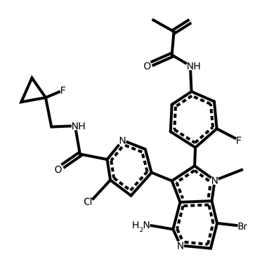 C=C(C)C(=O)Nc1ccc(-c2c(-c3cnc(C(=O)NCC4(F)CC4)c(Cl)c3)c3c(N)ncc(Br)c3n2C)c(F)c1